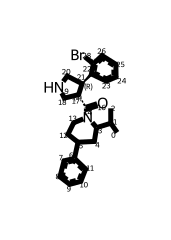 CC(C)C1CC(c2ccccc2)CCN1C(=O)[C@@H]1CNC[C@H]1c1ccccc1Br